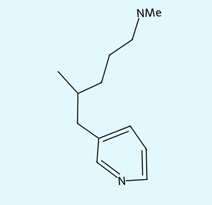 CNCCCC(C)Cc1cccnc1